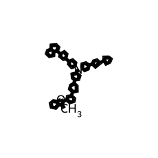 Cc1c(-c2cccc(-c3ccc(-c4ccc(N(c5ccc(-c6ccc(-c7ccccc7)cc6)cc5)c5ccc(-c6ccc(-c7cccc8ccccc78)cc6)cc5)cc4)cc3)c2)oc2ccccc12